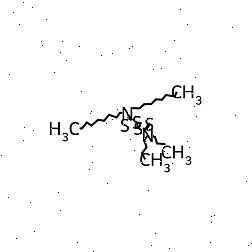 CCCCCCCCCN(CCCCCCCCC)C(=S)SSC(=S)N(CCCC)CCCC